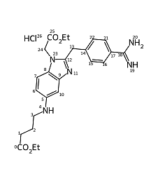 CCOC(=O)CCCNc1ccc2c(c1)nc(Cc1ccc(C(=N)N)cc1)n2CC(=O)OCC.Cl